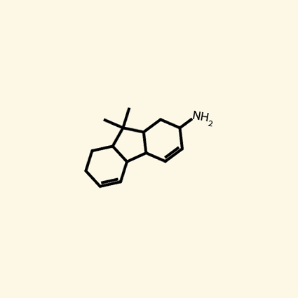 CC1(C)C2CCC=CC2C2C=CC(N)CC21